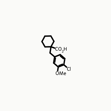 COc1cc(CC2(C(=O)O)CCCCC2)ccc1Cl